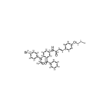 CCCOc1ccc(/C=C/C(=O)Nc2ccc(N(C(C)=O)c3ccc(Br)cc3)c(C(=O)c3ccccc3)c2)cc1